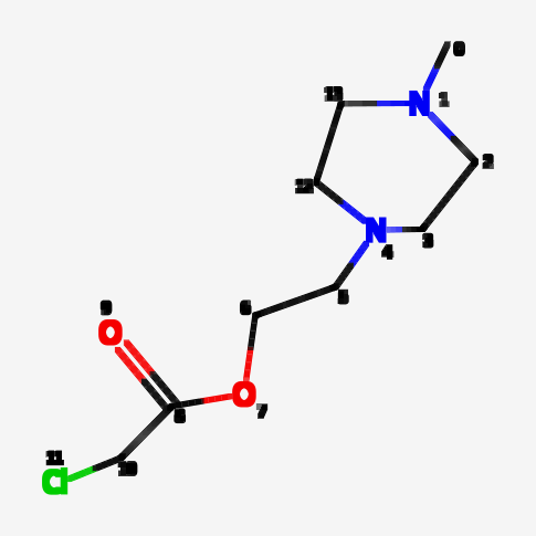 CN1CCN(CCOC(=O)CCl)CC1